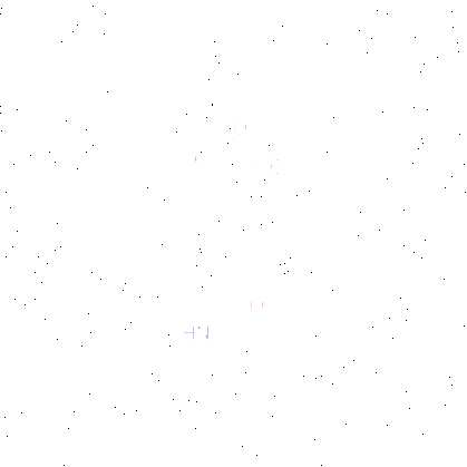 O=S(=O)(Cl)c1ccc(C2CNCCO2)cc1